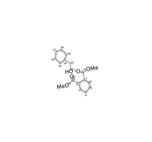 COC(=O)c1ccccc1C(=O)OC.OCc1ccccc1